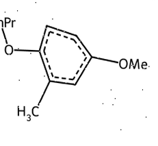 CCCOc1ccc(OC)cc1C